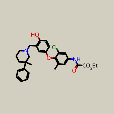 CCOC(=O)C(=O)Nc1cc(C)c(Oc2ccc(O)c(CN3CCCC(C)(c4ccccc4)C3)c2)c(Cl)c1